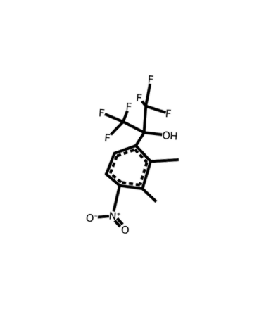 Cc1c([N+](=O)[O-])ccc(C(O)(C(F)(F)F)C(F)(F)F)c1C